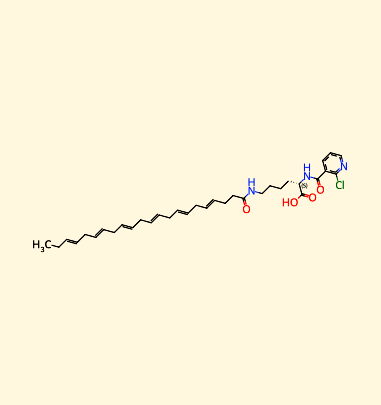 CCC=CCC=CCC=CCC=CCC=CCC=CCCC(=O)NCCCC[C@H](NC(=O)c1cccnc1Cl)C(=O)O